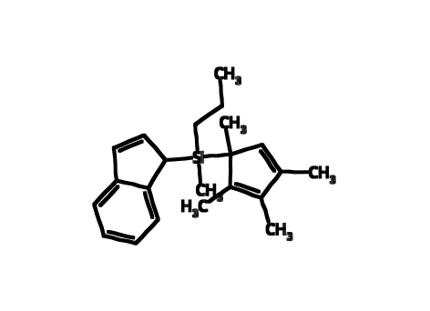 CCC[Si](C)(C1C=Cc2ccccc21)C1(C)C=C(C)C(C)=C1C